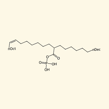 CCCCCCCC/C=C\CCCCCCC(CCCCCCCCCCCCCCCC)C(=O)OP(=O)(O)O